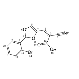 N#CC(=CC1=COC(c2ccccc2Br)O1)C(=O)O